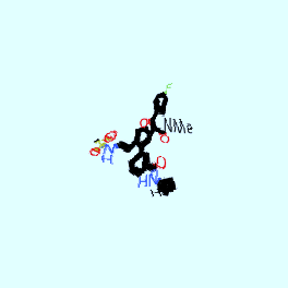 CNC(=O)c1c(-c2ccc(F)cc2)oc2cc(CCNS(C)(=O)=O)c(-c3cccc(C(=O)NC45CC(C4)[C@H]5C)c3)cc12